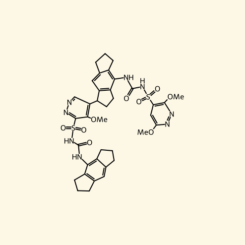 COc1cc(S(=O)(=O)NC(=O)Nc2c3c(cc4c2CCC4c2cnnc(S(=O)(=O)NC(=O)Nc4c5c(cc6c4CCC6)CCC5)c2OC)CCC3)c(OC)nn1